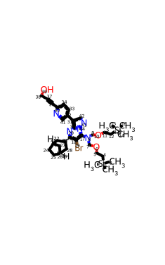 C[Si](C)(C)CCOCN(COCC[Si](C)(C)C)c1c(Br)c([C@H]2C[C@@H]3CC[C@@H](C3)C2)nc2c(-c3ccc(C#CCO)nc3)cnn12